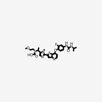 COCCN(C(=O)O)C(C)c1cnc(-c2cc3nccc(Oc4ccc(NC(=O)NC(C)C)cc4F)c3s2)n1C